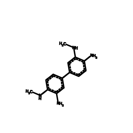 CNc1ccc(-c2ccc(N)c(NC)c2)cc1N